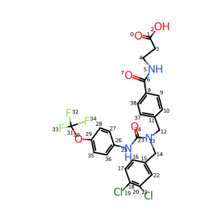 O=C(O)CCNC(=O)c1ccc(CN(Cc2ccc(Cl)c(Cl)c2)C(=O)Nc2ccc(OC(F)(F)F)cc2)cc1